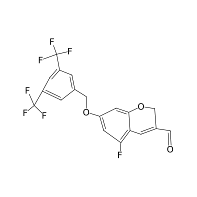 O=CC1=Cc2c(F)cc(OCc3cc(C(F)(F)F)cc(C(F)(F)F)c3)cc2OC1